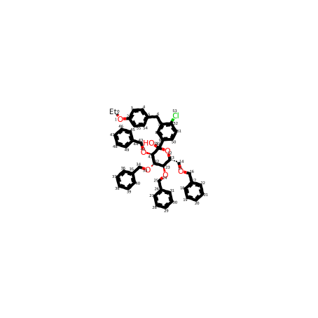 CCOc1ccc(Cc2cc(C3(O)O[C@H](COCc4ccccc4)[C@@H](OCc4ccccc4)[C@H](OCc4ccccc4)[C@H]3OCc3ccccc3)ccc2Cl)cc1